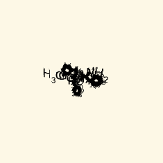 COc1cccc(CN(CC(O)C(N)Cc2ccccc2)C(=O)OCc2ccccc2)c1